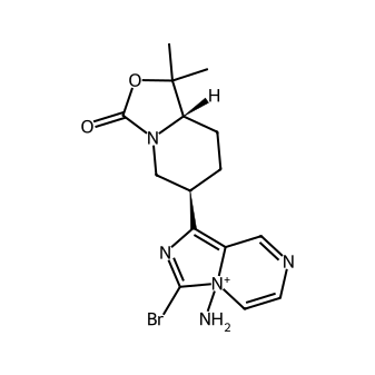 CC1(C)OC(=O)N2C[C@H](C3=C4C=NC=C[N+]4(N)C(Br)=N3)CC[C@H]21